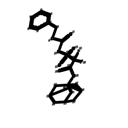 O=C(OCc1ccccc1)OS(=O)(=O)C(F)(F)C(=O)OC12CC3CC(CC(C3)C1)C2